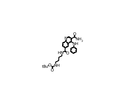 CC(C)(C)OC(=O)NCCCCNC(=O)c1ccc2ncc(C(N)=O)c(Nc3ccccc3)c2c1